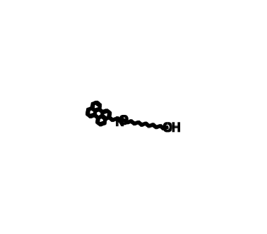 OCCCCCCCCCCCON=CCc1ccc2c3cccc4cccc(c5cccc1c52)c43